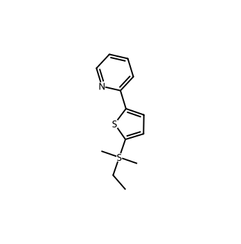 CCS(C)(C)c1ccc(-c2ccccn2)s1